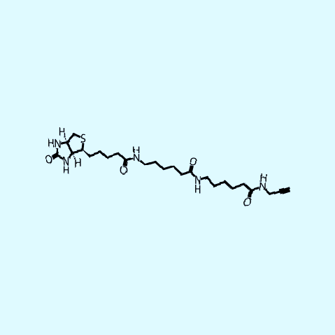 C#CCNC(=O)CCCCCNC(=O)CCCCCNC(=O)CCCC[C@@H]1SC[C@@H]2NC(=O)N[C@@H]21